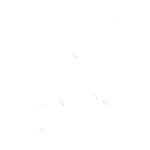 Cn1ccc(-c2cc(C3CCC(=O)C3)ncc2C2CCN(C(=O)OC(C)(C)C)C2)n1